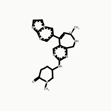 C[C@@H]1C=C(c2cnc3nccn3c2)c2cnc(NC3CCC(=O)N(C)C3)nc2CN1